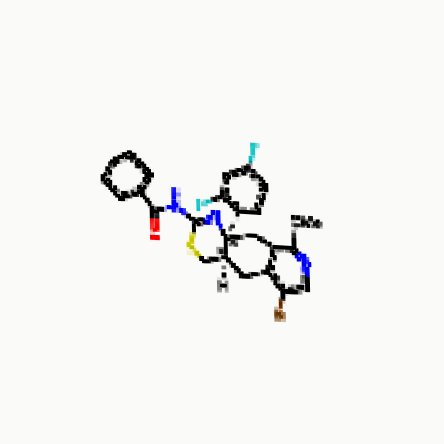 COc1ncc(Br)c2c1C[C@]1(c3ccc(F)cc3F)N=C(NC(=O)c3ccccc3)SC[C@@H]1C2